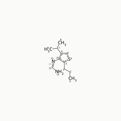 CCCc1scc(C(C)C)c1/N=C\N